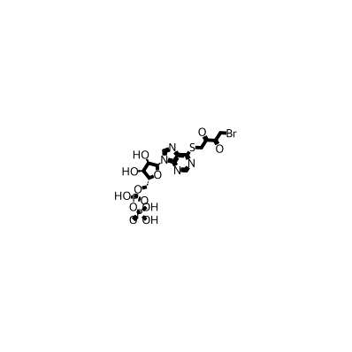 O=C(CBr)C(=O)CSc1ncnc2c1ncn2[C@@H]1O[C@H](COP(=O)(O)OP(=O)(O)O)[C@@H](O)[C@H]1O